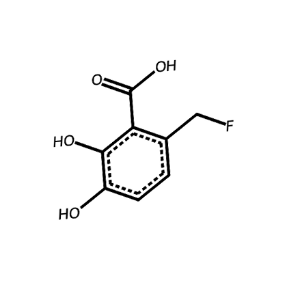 O=C(O)c1c(CF)ccc(O)c1O